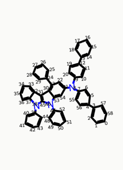 c1ccc(-c2ccc(N(c3ccc(-c4ccccc4)cc3)c3cc(-c4ccccc4)c4c5c6ccccc6n(-c6ccccc6)c5n(-c5ccccc5)c4c3)cc2)cc1